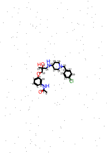 CC(=O)Nc1cccc(OCC(C)(O)CNC2CCN(Cc3ccc(Cl)cc3)CC2)c1